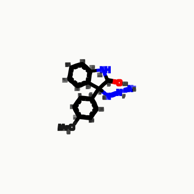 COc1ccc(C2(N=[N+]=[N-])C(=O)Nc3ccccc32)cc1